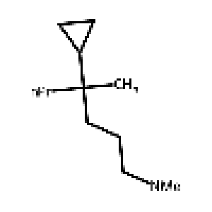 CCCC(C)(CCCNC)C1CC1